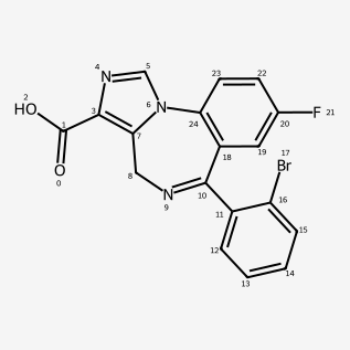 O=C(O)c1ncn2c1CN=C(c1ccccc1Br)c1cc(F)ccc1-2